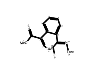 CO/C=C(/C(=O)OC)c1ccccc1C(CCl)=NOC(C)=O